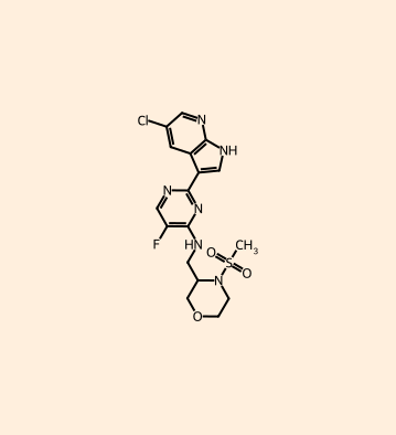 CS(=O)(=O)N1CCOCC1CNc1nc(-c2c[nH]c3ncc(Cl)cc23)ncc1F